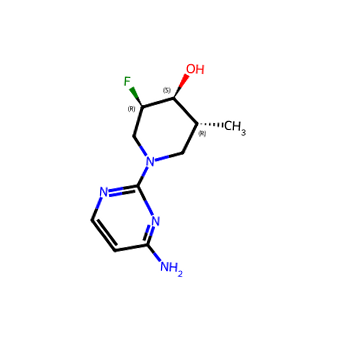 C[C@@H]1CN(c2nccc(N)n2)C[C@@H](F)[C@H]1O